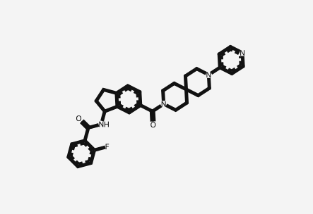 O=C(NC1CCc2ccc(C(=O)N3CCC4(CC3)CCN(c3ccncc3)CC4)cc21)c1ccccc1F